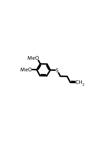 C=CCCSc1ccc(OC)c(OC)c1